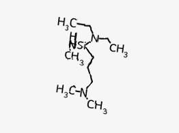 CCN(CC)[SiH](CCCN(C)C)NC